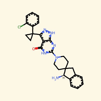 N[C@@H]1c2ccccc2CC12CCN(c1nc3[nH]nc(C4(c5ccccc5Cl)CC4)c3c(=O)[nH]1)CC2